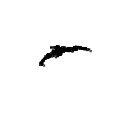 C=CCCCCCOC1CCC(C(=O)Oc2ccc(/C=C/C(=O)C(O)C(Cc3ccc(N)cc3)(Cc3ccc(N)cc3)C(O)C(=O)/C=C/c3ccc(OC(=O)C4CCC(OCCCCCC=C)CC4)cc3)cc2)CC1